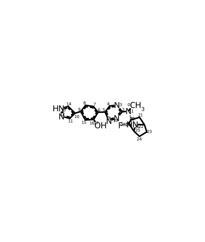 CN(c1ncc(-c2ccc(-c3cn[nH]c3)cc2O)nn1)[C@@H]1CC2CCC(N2)[C@@H]1F